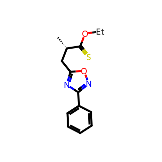 CCOC(=S)[C@@H](C)Cc1nc(-c2ccccc2)no1